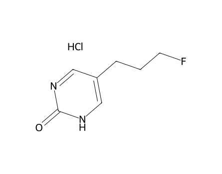 Cl.O=c1ncc(CCCF)c[nH]1